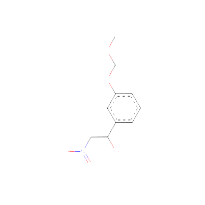 COCOc1cccc(C(O)C[N+](=O)[O-])c1